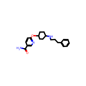 NC(=O)c1ccc(OC2CCC(NCCCc3ccccc3)CC2)nc1